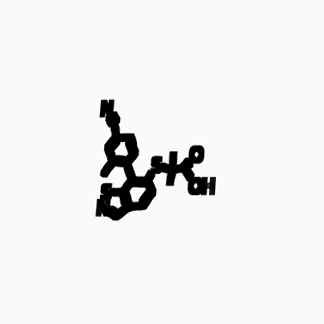 Cc1cc(C#N)ccc1-c1c(SC(C)(C)C(=O)O)ccc2cnsc12